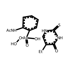 CC(=O)Nc1ccccc1[As](=O)(O)OO.CCc1c[nH]c(=S)[nH]c1=O